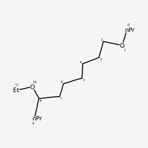 [CH2]CCOCCCCCCC(CCC)OCC